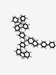 c1ccc(-c2ccc(-c3ccc4cc(N(c5ccc(-c6cccc7c6-c6ccccc6C7(c6ccccc6)c6ccccc6)cc5)c5ccc(-c6cccc7oc8ccccc8c67)cc5)ccc4c3)cc2)cc1